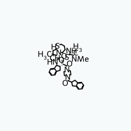 CN[C@@H](C)C(=S)N[C@H]1CCS[C@H]2CC(C)(C)[C@@H](C(=O)N[C@H]3c4ccccc4C[C@H]3CC(=O)N3CCN(C(=O)C4Cc5ccccc5C4)CC3)N2C1=O